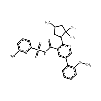 COc1ccccc1-c1cnc(N2CC(C)CC2(C)C)c(C(=O)NS(=O)(=O)c2cccc(N)n2)c1